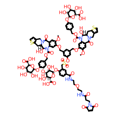 COc1cc2c(cc1OCc1cc(COc3cc4c(cc3OC)C(=O)N3Cc5ccsc5C[C@H]3C(O)N4C(=O)OCc3ccc(O[C@@H]4O[C@H](C(=O)O)[C@@H](O)[C@H](O)[C@H]4O)cc3)cc(OS(=O)(=O)Cc3cc(C(=O)NCCOCCNC(=O)CCN4C(=O)C=CC4=O)ccc3O[C@@H]3O[C@H](C(=O)O)[C@@H](O)[C@H](O)[C@H]3O)c1)N(C(=O)OCc1ccc(O[C@@H]3O[C@H](C(=O)O)[C@@H](O)[C@H](O)[C@H]3O)cc1)C(O)[C@@H]1Cc3sccc3CN1C2=O